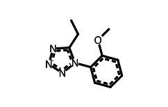 CCc1nnnn1-c1ccccc1OC